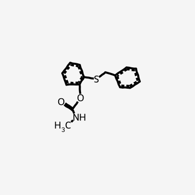 CNC(=O)Oc1ccccc1SCc1ccccc1